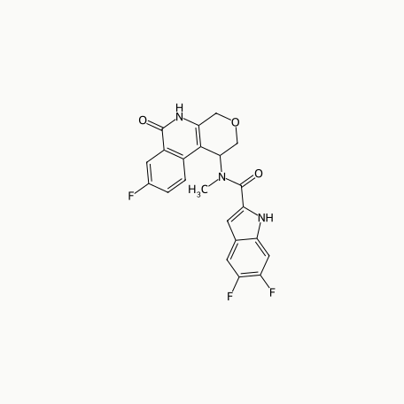 CN(C(=O)c1cc2cc(F)c(F)cc2[nH]1)C1COCc2[nH]c(=O)c3cc(F)ccc3c21